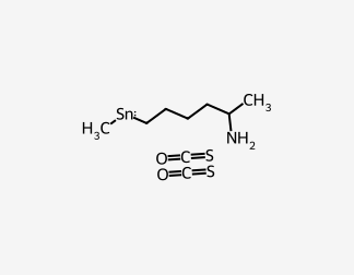 O=C=S.O=C=S.[CH3][Sn][CH2]CCCC(C)N